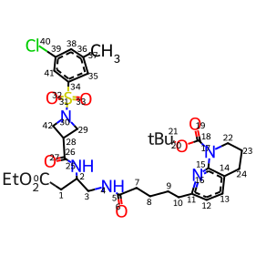 CCOC(=O)CC(CNC(=O)CCCCc1ccc2c(n1)N(C(=O)OC(C)(C)C)CCC2)NC(=O)C1CN(S(=O)(=O)c2cc(C)cc(Cl)c2)C1